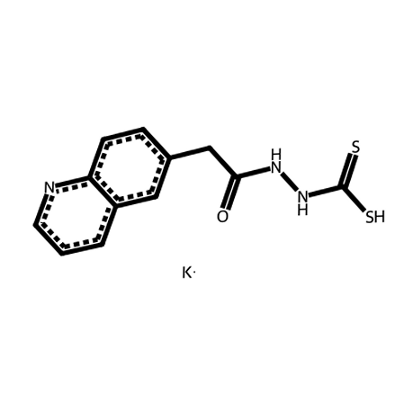 O=C(Cc1ccc2ncccc2c1)NNC(=S)S.[K]